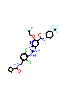 O=C(N[C@H]1CC[C@H](C(F)(F)F)CC1)c1cc2[nH]c(Nc3c(Cl)ccc(CNC(=O)C4CCC4)c3Cl)nc2nc1OCC(F)F